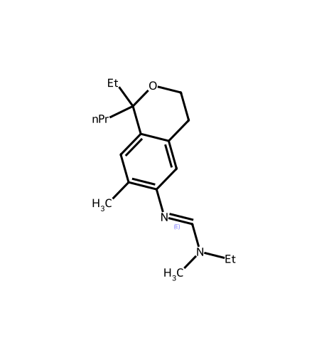 CCCC1(CC)OCCc2cc(/N=C/N(C)CC)c(C)cc21